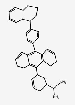 NC(N)C1CC=CC(c2c3c(c(-c4ccc(C5CCCC6C=CC=CC65)cc4)c4c2CCC=C4)C=CCC3)C1